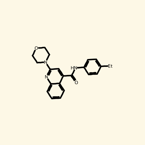 CCc1ccc(NC(=O)c2cc(N3CCOCC3)nc3ccccc23)cc1